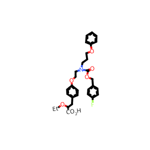 CCOC(Cc1ccc(OCCN(CCCOc2ccccc2)C(=O)OCc2ccc(F)cc2)cc1)C(=O)O